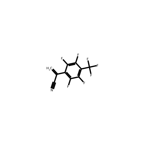 C=C(C#N)c1c(F)c(F)c(C(F)(F)F)c(F)c1F